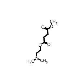 COC(=O)CCC(=O)OCCN(C)C